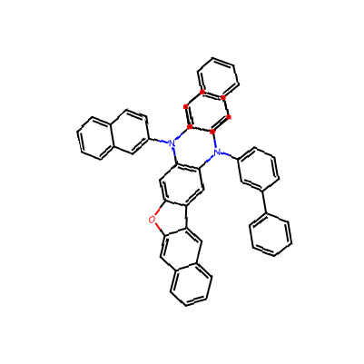 c1ccc(-c2cccc(N(c3ccc4ccccc4c3)c3cc4c(cc3N(c3ccccc3)c3ccc5ccccc5c3)oc3cc5ccccc5cc34)c2)cc1